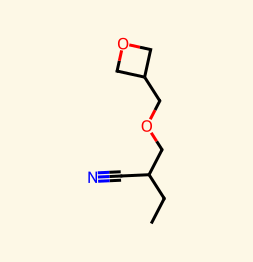 CCC(C#N)COCC1COC1